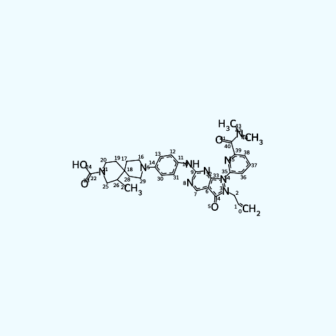 C=CCn1c(=O)c2cnc(Nc3ccc(N4CCC5(CCN(C(=O)O)CC5C)CC4)cc3)nc2n1-c1cccc(C(=O)N(C)C)n1